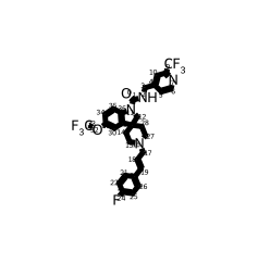 O=C(NCc1ccnc(C(F)(F)F)c1)N1CC2(CCN(CC=Cc3ccc(F)cc3)CC2)c2cc(OC(F)(F)F)ccc21